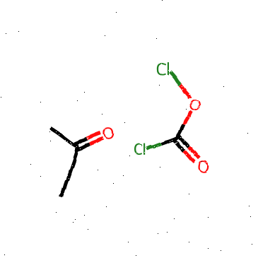 CC(C)=O.O=C(Cl)OCl